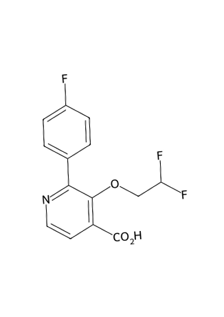 O=C(O)c1ccnc(-c2ccc(F)cc2)c1OCC(F)F